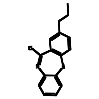 CCCc1ccc2c(c1)C(Cl)=Nc1ccccc1S2